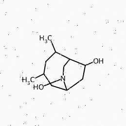 CC1CC(C)C2CN(O)C(C1)CC2O